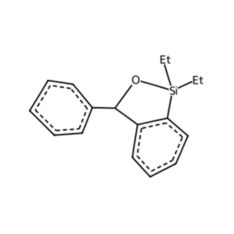 CC[Si]1(CC)OC(c2ccccc2)c2ccccc21